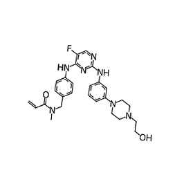 C=CC(=O)N(C)Cc1ccc(Nc2nc(Nc3cccc(N4CCN(CCO)CC4)c3)ncc2F)cc1